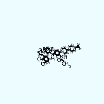 C=CC(=O)Nc1cc(Nc2cc(N3OCCC3c3cccc(Cl)c3Cl)ncn2)c(OC)cc1N1CCC(N2CCN(C3CC3)CC2)CC1